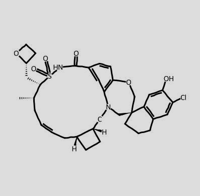 C[C@H]1C/C=C\C[C@H]2CC[C@H]2CN2C[C@@]3(CCCc4cc(Cl)c(O)cc43)COc3ccc(cc32)C(=O)NS(=O)(=O)[C@H]1C[C@H]1CCO1